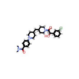 CN(C)C(=O)c1ccc(N2CCC(CC3CCN(C(=O)C(O)c4cccc(Cl)c4)CC3)CC2)cc1